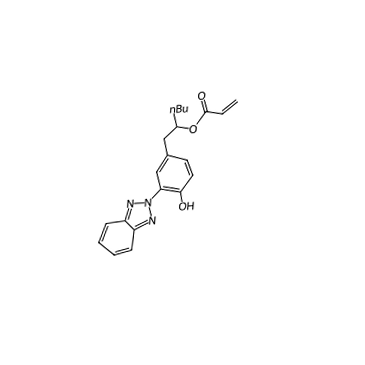 C=CC(=O)OC(CCCC)Cc1ccc(O)c(-n2nc3ccccc3n2)c1